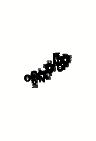 Cc1nc2c(cc1-c1ccc(NC(=O)c3c(F)cccc3F)cc1)oc(=O)n2C